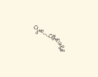 CC(C)(C)OC(=O)N1CC[C@H](CNc2nc3ccc(CCCCCNC(=O)c4ccccc4)cc3o2)C1